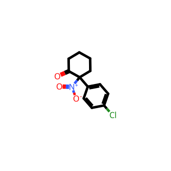 O=C1CCCCC1(c1ccc(Cl)cc1)[N+](=O)[O-]